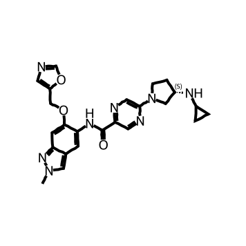 Cn1cc2cc(NC(=O)c3cnc(N4CC[C@H](NC5CC5)C4)cn3)c(OCc3cnco3)cc2n1